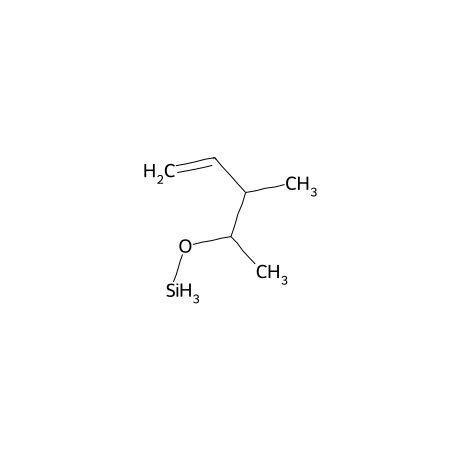 C=CC(C)C(C)O[SiH3]